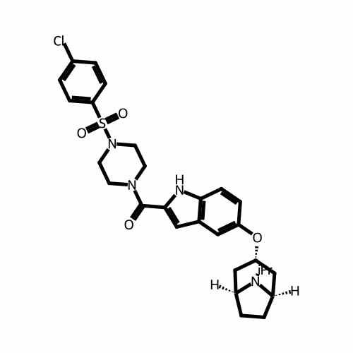 CC(C)N1[C@@H]2CC[C@H]1C[C@H](Oc1ccc3[nH]c(C(=O)N4CCN(S(=O)(=O)c5ccc(Cl)cc5)CC4)cc3c1)C2